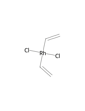 C=[CH][Rh]([Cl])([Cl])[CH]=C